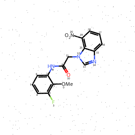 COc1c(F)cccc1NC(=O)Cn1cnc2cccc([N+](=O)[O-])c21